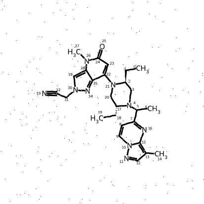 CC[C@H]1CN(C(C)c2ccn3ncc(C)c3n2)[C@H](CC)CN1c1cc(=O)n(C)c2cn(CC#N)nc12